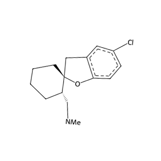 CNC[C@@H]1CCCC[C@]12Cc1cc(Cl)ccc1O2